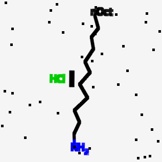 C=C.CCCCCCCCCCCCCCCCCCN.Cl